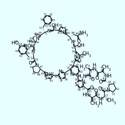 C=C(NC(=O)C(=C)NC(=O)[C@@H]1CCCN1C(=O)[C@H](C)NC(=O)C(=C)NC(=O)c1csc(-c2ccc3c(n2)-c2csc(n2)-c2csc(n2)C2CCCN2C(=O)[C@H](Cc2ccc(O)cc2)N=C(O)[C@@H]2CSC(=N2)[C@H](Cc2ccccc2)N=C(O)c2csc(n2)[C@H](CC(N)=O)N=C(O)c2nc-3oc2C)n1)C(N)=O